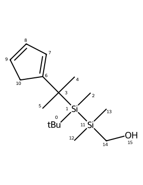 CC(C)(C)[Si](C)(C(C)(C)C1=CC=CC1)[Si](C)(C)CO